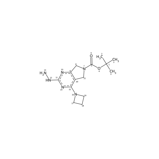 CC(C)(C)OC(=O)N1Cc2nc(NN)nc(N3CCC3)c2C1